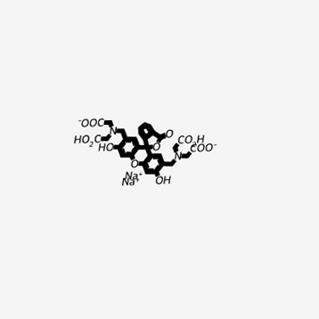 O=C([O-])CN(CC(=O)O)Cc1cc2c(cc1O)Oc1cc(O)c(CN(CC(=O)[O-])CC(=O)O)cc1C21OC(=O)c2ccccc21.[Na+].[Na+]